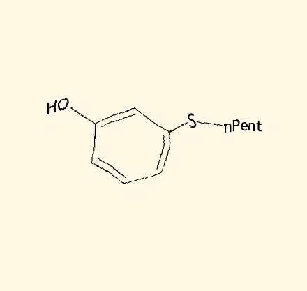 CCCCCSc1cccc(O)c1